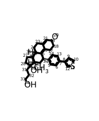 C[C@@]12C[C@H](c3ccc(-c4ccsc4)cc3)C3=C4CCC(=O)C=C4CC[C@H]3[C@@H]1CC[C@]2(O)CCCO